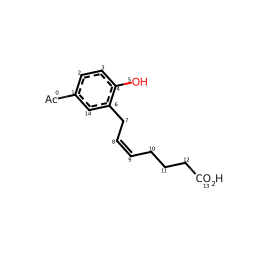 CC(=O)c1ccc(O)c(C/C=C\CCCC(=O)O)c1